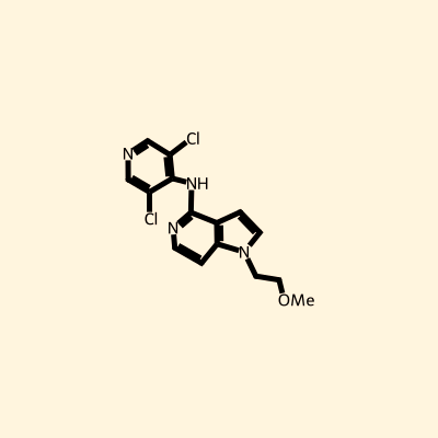 COCCn1ccc2c(Nc3c(Cl)cncc3Cl)nccc21